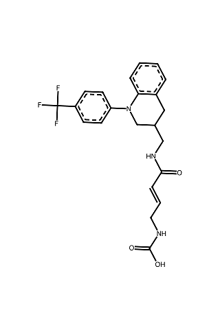 O=C(O)NCC=CC(=O)NCC1Cc2ccccc2N(c2ccc(C(F)(F)F)cc2)C1